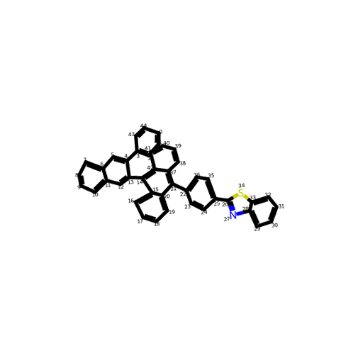 c1ccc(-c2cc3ccccc3cc2-c2c3ccccc3c(-c3ccc(-c4nc5ccccc5s4)cc3)c3ccccc23)cc1